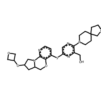 OCc1nc(Sc2ccnc3c2OCC2CC(OC4COC4)CN32)cnc1N1CCC2(CCOC2)CC1